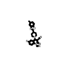 Cc1ccc2oc(C3CCN(c4c(C#N)c5nncn5c5ccc(F)cc45)CC3)nc2c1